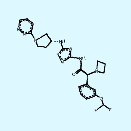 O=C(Nc1nnc(N[C@@H]2CCN(c3cccnn3)C2)s1)[C@H](c1cccc(OC(F)F)c1)N1CCC1